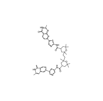 C=C1NC(C)=Cc2cc(-c3cncc(NC(=O)C4CC(C)(C)OC(C)(CCC5(C)CC(C(=O)Nc6ncc(-c7ccc8c(=O)[nH]c(C)nc8n7)s6)CC(C)(C)O5)C4)c3)ccc21